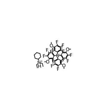 CC[NH+](CC)C1CCCCC1.COc1c(F)c(F)c(F)c([B-](c2c(F)c(F)c(F)c(OC)c2F)(c2c(F)c(F)c(F)c(OC)c2F)c2c(F)c(F)c(F)c(OC)c2F)c1F